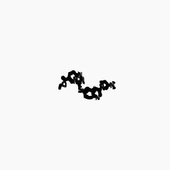 C=C(OCC)c1ccc2nnc(Sc3ccc4ncc(N5CCC(N(C)C)C5)cc4c3)n2c1